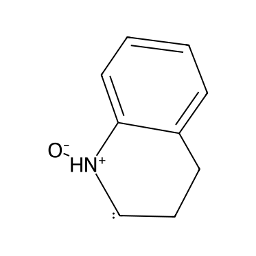 [O-][NH+]1[C]CCc2ccccc21